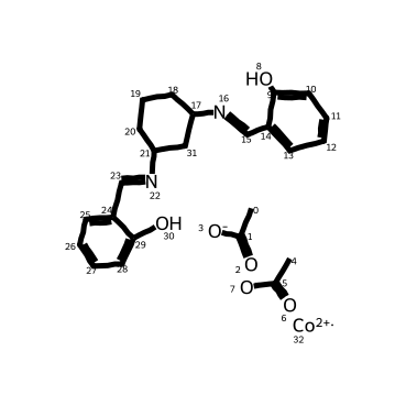 CC(=O)[O-].CC(=O)[O-].Oc1ccccc1C=NC1CCCC(N=Cc2ccccc2O)C1.[Co+2]